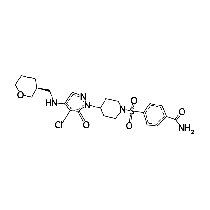 NC(=O)c1ccc(S(=O)(=O)N2CCC(n3ncc(NC[C@@H]4CCCOC4)c(Cl)c3=O)CC2)cc1